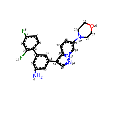 Nc1cc(-c2ccc(F)cc2F)cc(-c2cnn3cc(N4CCOCC4)ccc23)c1